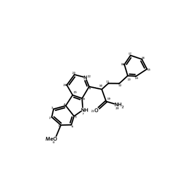 COc1ccc2c(c1)[nH]c1c(C(CCc3ccccc3)C(N)=O)nccc12